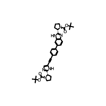 CC(C)(C)OC(=O)N1CCC[C@H]1c1ncc(C#Cc2ccc(-c3ccc4nc([C@@H]5CCCN5C(=O)OC(C)(C)C)[nH]c4c3)cc2)[nH]1